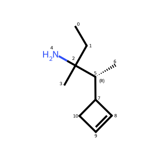 CCC(C)(N)[C@H](C)C1C=CC1